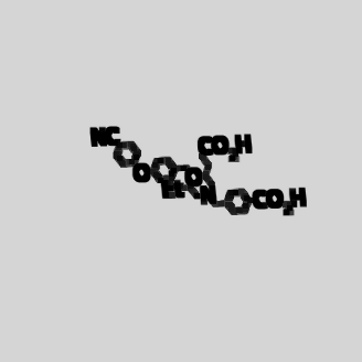 CC[C@H](CN(CCCCC(=O)O)Cc1ccc(C(=O)O)cc1)OCc1ccc(Oc2ccc(C#N)cc2)cc1